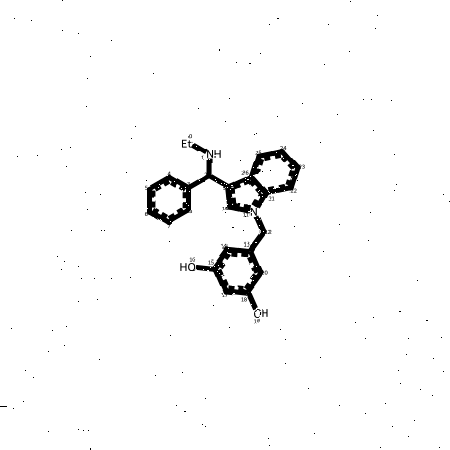 CCNC(c1ccccc1)c1cn(Cc2cc(O)cc(O)c2)c2ccccc12